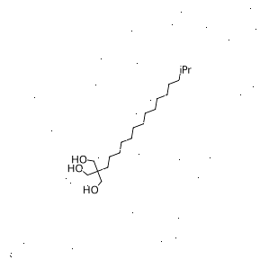 CC(C)CCCCCCCCCCCCCC(CO)(CO)CO